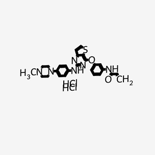 C=CC(=O)Nc1cccc(Oc2nc(Nc3ccc(N4CCN(C)CC4)cc3)nc3ccsc23)c1.Cl.Cl